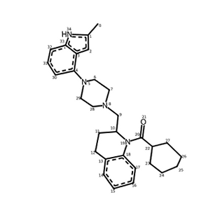 Cc1cc2c(N3CCN(CC4CCc5ccccc5N4C(=O)C4CCCCC4)CC3)cccc2[nH]1